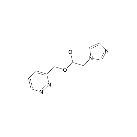 [O]C(Cn1ccnc1)OCc1cccnn1